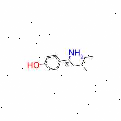 CCC(C)C[C@H](N)c1ccc(O)cc1